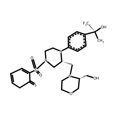 C[C@](O)(c1ccc(N2CCN(S(=O)(=O)C3=CC=CCC3=S)C[C@H]2CN2CCOC[C@H]2CO)cc1)C(F)(F)F